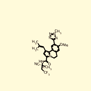 COc1cc2c(cc1-c1nnn(C)n1)-c1c(C=C(C)C)cc(C(=O)N[C@](C)(C#N)CC(F)(F)F)n1CC2